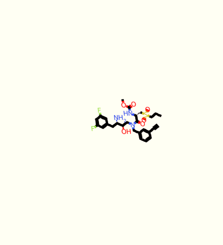 C#Cc1cccc(CN(C[C@@H](O)[C@@H](N)Cc2cc(F)cc(F)c2)C(=O)[C@@H](CS(=O)(=O)CCC)NC(=O)OC)c1